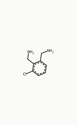 NCc1cccc(Cl)c1CN